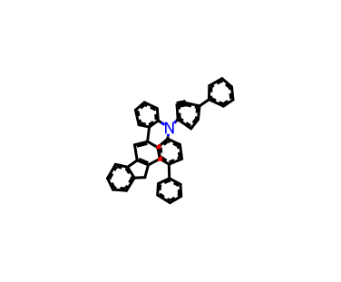 c1c(-c2ccccc2)ccc(N(c2ccc(-c3ccccc3)cc2)c2ccccc2C2=CC3=C(CC2)Cc2ccccc23)c#1